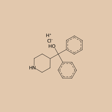 OC(c1ccccc1)(c1ccccc1)C1CCNCC1.[Cl-].[H+]